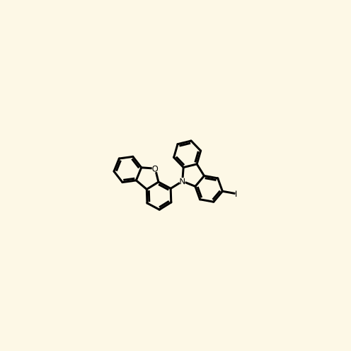 Ic1ccc2c(c1)c1ccccc1n2-c1cccc2c1oc1ccccc12